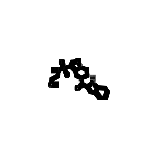 O=C(c1cc2ccccc2[nH]1)N1CCn2ncc(S(=O)(=O)NCCO)c2C1